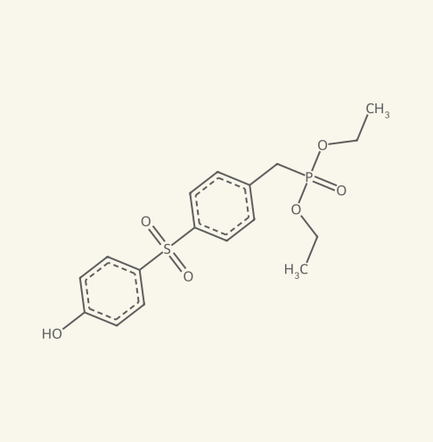 CCOP(=O)(Cc1ccc(S(=O)(=O)c2ccc(O)cc2)cc1)OCC